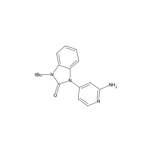 CC(C)(C)n1c(=O)n(-c2ccnc(N)c2)c2ccccc21